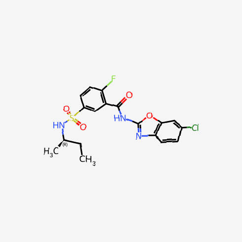 CC[C@@H](C)NS(=O)(=O)c1ccc(F)c(C(=O)Nc2nc3ccc(Cl)cc3o2)c1